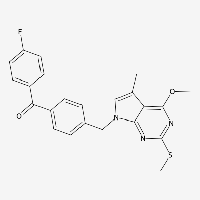 COc1nc(SC)nc2c1c(C)cn2Cc1ccc(C(=O)c2ccc(F)cc2)cc1